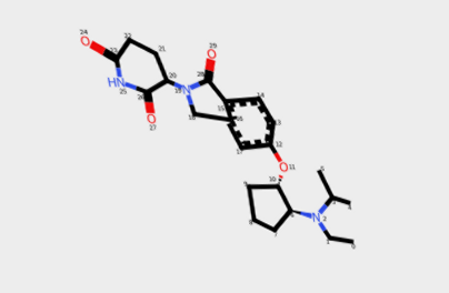 CCN(C(C)C)[C@H]1CCC[C@@H]1Oc1ccc2c(c1)CN(C1CCC(=O)NC1=O)C2=O